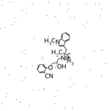 Cn1cc(CC(C)(C)NCC(O)COc2ccccc2C#N)c2ccccc21